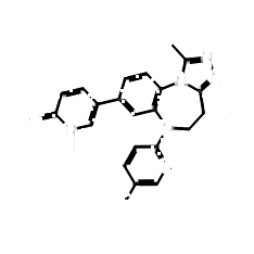 Cc1nnc2n1-c1ccc(-c3ccc(=O)[nH]c3)cc1N(c1ccc(Cl)cn1)C[C@H]2C